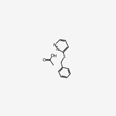 CC(=O)O.c1ccc(CSc2cccnn2)cc1